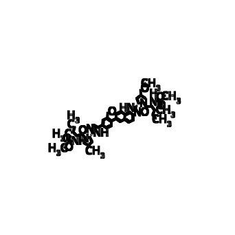 CC[C@H](C)C(NC(=O)OC)C(=O)N1C[C@@H](C)C[C@H]1c1ncc(-c2ccc3c(c2)COc2cc4c(ccc5nc([C@@H]6CC(COC)CN6C(=O)C(NC(=O)OC)[C@@H](C)CC)[nH]c54)cc2-3)[nH]1